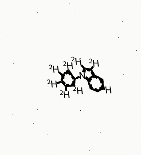 [2H]c1ccc2c(c1)c([2H])c([2H])n2-c1c([2H])c([2H])c([2H])c([2H])c1[2H]